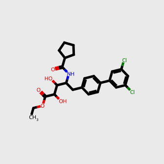 CCOC(=O)C(O)C(O)C(Cc1ccc(-c2cc(Cl)cc(Cl)c2)cc1)NC(=O)C1CCCC1